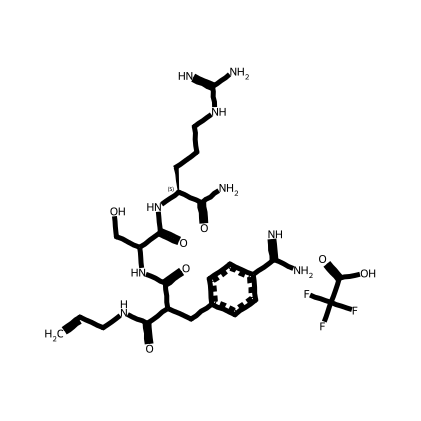 C=CCNC(=O)C(Cc1ccc(C(=N)N)cc1)C(=O)NC(CO)C(=O)N[C@@H](CCCNC(=N)N)C(N)=O.O=C(O)C(F)(F)F